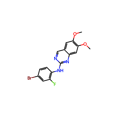 COc1cc2cnc(Nc3ccc(Br)cc3F)nc2cc1OC